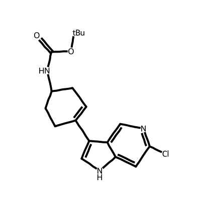 CC(C)(C)OC(=O)NC1CC=C(c2c[nH]c3cc(Cl)ncc23)CC1